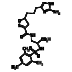 Cc1cc(C)c(S(=O)(=O)NC(CNC(=O)C2=NOC(CCCc3c[nH]c(N)n3)C2)C(=O)O)c(C)c1